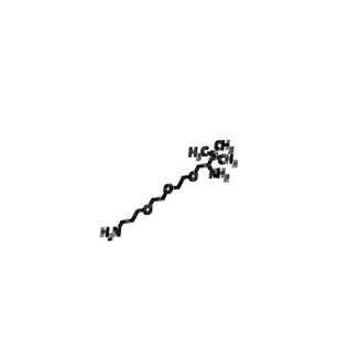 C[Si](C)(C)C(N)COCCOCCOCCCN